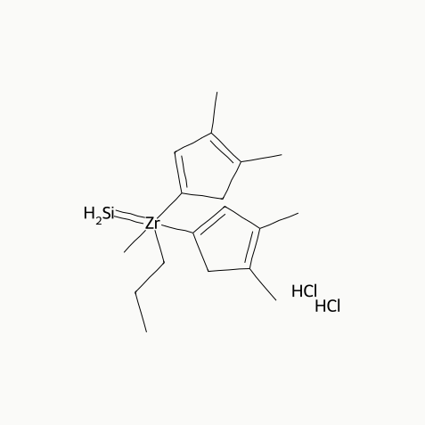 CC[CH2][Zr]([CH3])(=[SiH2])([C]1=CC(C)=C(C)C1)[C]1=CC(C)=C(C)C1.Cl.Cl